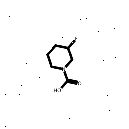 O=C(O)N1CCCC(F)C1